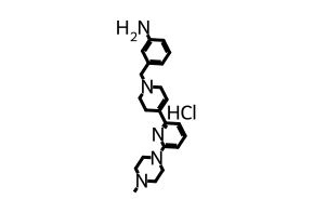 CN1CCN(c2cccc(C3=CCN(Cc4cccc(N)c4)CC3)n2)CC1.Cl